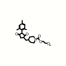 COCCOC(=O)N1CCC(CC2CC(=O)C(c3c(C)cc(C)cc3C)C2=O)CC1